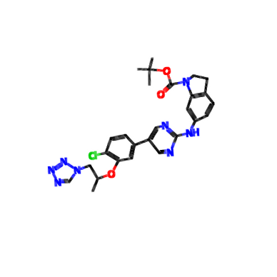 CC(Cn1cnnn1)Oc1cc(-c2cnc(Nc3ccc4c(c3)N(C(=O)OC(C)(C)C)CC4)nc2)ccc1Cl